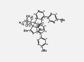 CCC1=Cc2c(-c3ccc(C(C)(C)C)cc3)cccc2[CH]1[Zr]([Cl])([Cl])([CH]1C(C(C)CC)=Cc2c(-c3ccc(C(C)(C)C)cc3)cccc21)[SiH](C)C